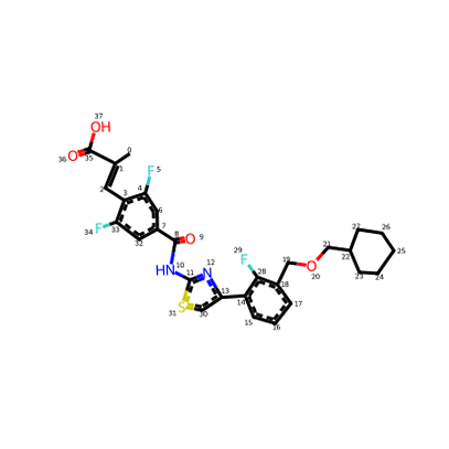 CC(=Cc1c(F)cc(C(=O)Nc2nc(-c3cccc(COCC4CCCCC4)c3F)cs2)cc1F)C(=O)O